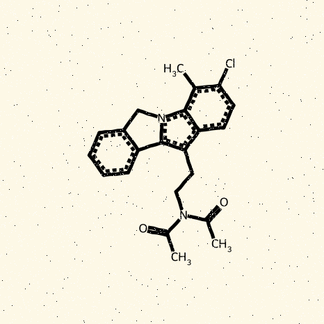 CC(=O)N(CCc1c2n(c3c(C)c(Cl)ccc13)Cc1ccccc1-2)C(C)=O